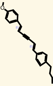 CCCCc1ccc(/C=C/C#C/C=C/c2ccc(OC)cc2)cc1